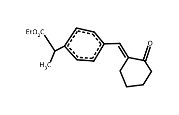 CCOC(=O)C(C)c1ccc(C=C2CCCCC2=O)cc1